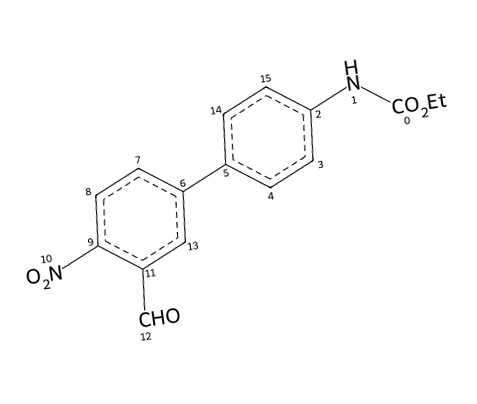 CCOC(=O)Nc1ccc(-c2ccc([N+](=O)[O-])c(C=O)c2)cc1